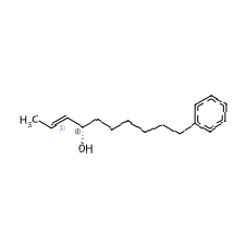 C/C=C/[C@@H](O)CCCCCCc1ccccc1